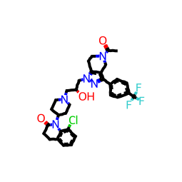 CC(=O)N1CCc2c(c(-c3ccc(C(F)(F)F)cc3)nn2CC(O)CN2CCC(N3C(=O)CCc4cccc(Cl)c43)CC2)C1